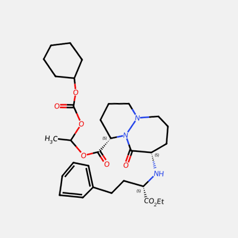 CCOC(=O)[C@H](CCc1ccccc1)N[C@H]1CCCN2CCC[C@@H](C(=O)OC(C)OC(=O)OC3CCCCC3)N2C1=O